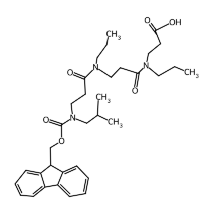 CCCN(CCC(=O)O)C(=O)CCN(CCC)C(=O)CCN(CC(C)C)C(=O)OCC1c2ccccc2-c2ccccc21